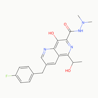 CC(O)c1nc(C(=O)NN(C)C)c(O)c2ncc(Cc3ccc(F)cc3)cc12